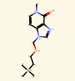 Cn1ccc2c(ncn2COCC[Si](C)(C)C)c1=O